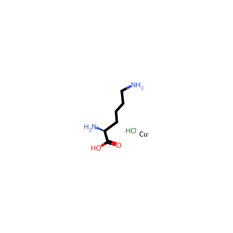 Cl.NCCCC[C@H](N)C(=O)O.[Cu]